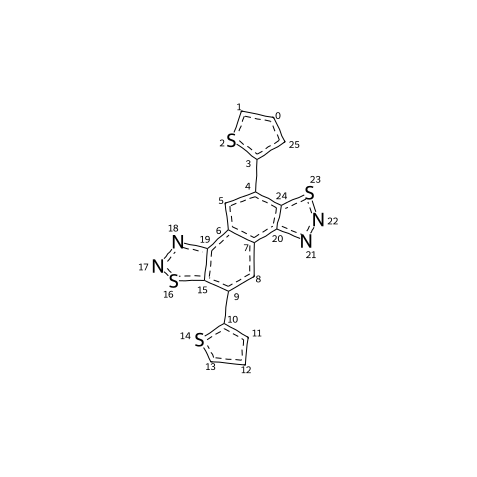 c1csc(-c2cc3c(cc(-c4cccs4)c4snnc43)c3nnsc23)c1